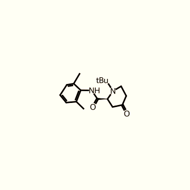 Cc1cccc(C)c1NC(=O)[C@@H]1CC(=O)CCN1C(C)(C)C